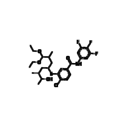 CCOC(OCC)C(C)CC(CC(C)C(C)O)Sc1cc(C(=O)Nc2cc(F)c(F)c(F)c2)ccc1Cl